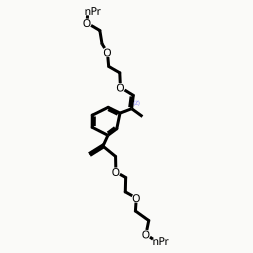 C=C(COCCOCCOCCC)c1cccc(/C(C)=C\OCCOCCOCCC)c1